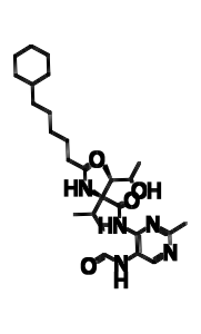 Cc1ncc(NC=O)c(NC(=O)[C@](NC(=O)CCCCCC2CCCCC2)(C(C)C)[C@@H](C)C(C)O)n1